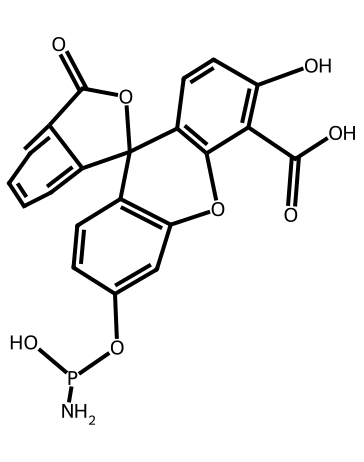 NP(O)Oc1ccc2c(c1)Oc1c(ccc(O)c1C(=O)O)C21OC(=O)c2ccccc21